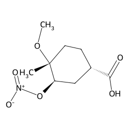 CO[C@]1(C)CC[C@H](C(=O)O)C[C@H]1O[N+](=O)[O-]